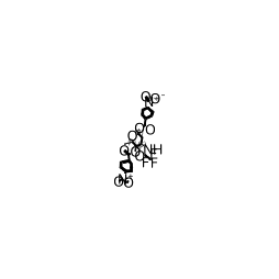 C[C@H]1O[C@H](OC(=O)c2ccc([N+](=O)[O-])cc2)C[C@H](NC(=O)C(F)(F)F)[C@H]1OC(=O)c1ccc([N+](=O)[O-])cc1